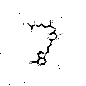 CC(=O)[C@H](CCCNC(N)=O)NC(=O)[C@@H](NC(=O)CCCn1ccc2c(Cl)ncnc21)C(C)C